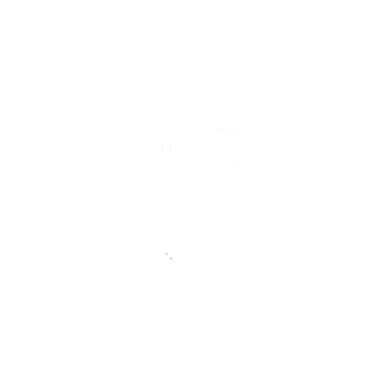 CC/C(C)=C(/C)c1ccc2[nH]ccc2c1